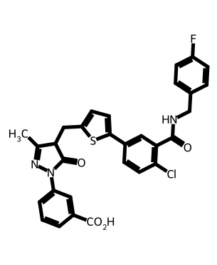 CC1=NN(c2cccc(C(=O)O)c2)C(=O)C1Cc1ccc(-c2ccc(Cl)c(C(=O)NCc3ccc(F)cc3)c2)s1